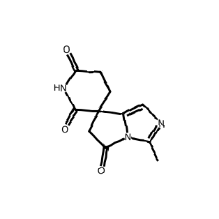 Cc1ncc2n1C(=O)CC21CCC(=O)NC1=O